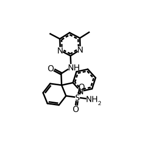 Cc1cc(C)nc(NC(=O)C2(c3ccccn3)C=CC=CC2S(N)(=O)=O)n1